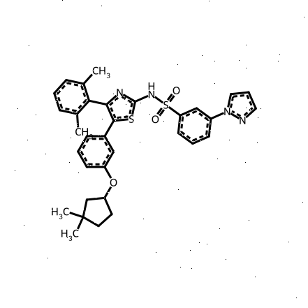 Cc1cccc(C)c1-c1nc(NS(=O)(=O)c2cccc(-n3cccn3)c2)sc1-c1cccc(OC2CCC(C)(C)C2)c1